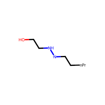 CCCCC[N]NCCO